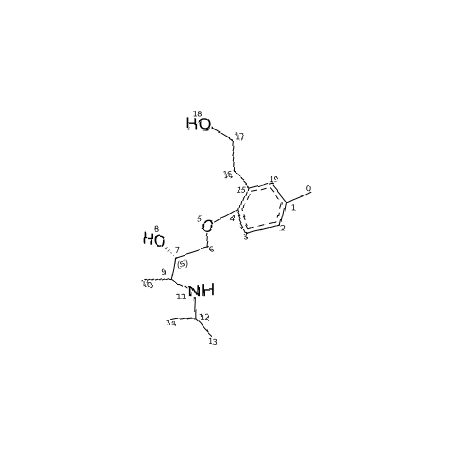 Cc1ccc(OC[C@@H](O)C(C)NC(C)C)c(CCO)c1